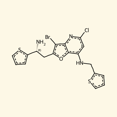 N[C@H](Cc1oc2c(NCc3cccs3)cc(Cl)nc2c1Br)c1cccs1